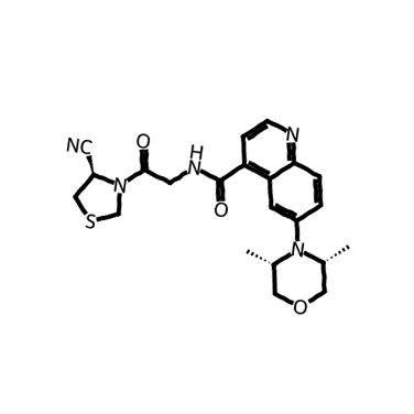 C[C@@H]1COC[C@H](C)N1c1ccc2nccc(C(=O)NCC(=O)N3CSC[C@H]3C#N)c2c1